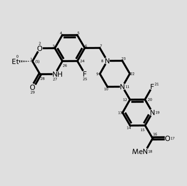 CC[C@@H]1Oc2ccc(CN3CCN(c4ccc(C(=O)NC)nc4F)CC3)c(F)c2NC1=O